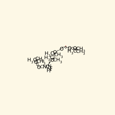 CC(C)(C)OC1CC(OCC23CC(COCCCCOC(C)(C)CCC(C)(C)OCC#Cc4cc(N5CCC(OC6CC(OC(C)(C)C)C6)CC5)cc(C(F)(F)F)n4)(C2)C3)C1